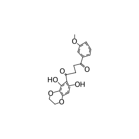 COc1cccc(C(=O)CCC(=O)c2c(O)cc3c(c2O)OCCO3)c1